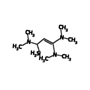 CN(C)C(=CC([SiH3])N(C)C)N(C)C